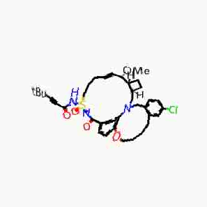 CO[C@H]1/C=C/CCCS(=O)(NC(=O)C#CC(C)(C)C)=NC(=O)c2ccc3c(c2)N(Cc2ccc(Cl)cc2CCCCO3)C[C@@H]2CC[C@H]21